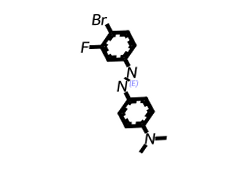 CN(C)c1ccc(/N=N/c2ccc(Br)c(F)c2)cc1